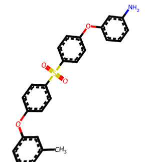 Cc1cccc(Oc2ccc(S(=O)(=O)c3ccc(Oc4cccc(N)c4)cc3)cc2)c1